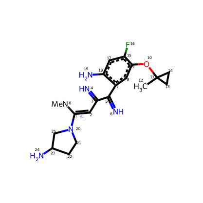 CN/C(=C\C(=N)C(=N)c1cc(OC2(C)CC2)c(F)cc1N)N1CCC(N)C1